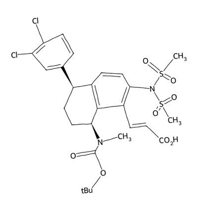 CN(C(=O)OC(C)(C)C)[C@H]1CC[C@@H](c2ccc(Cl)c(Cl)c2)c2ccc(N(S(C)(=O)=O)S(C)(=O)=O)c(/C=C/C(=O)O)c21